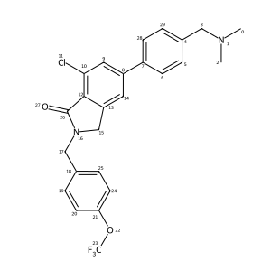 CN(C)Cc1ccc(-c2cc(Cl)c3c(c2)CN(Cc2ccc(OC(F)(F)F)cc2)C3=O)cc1